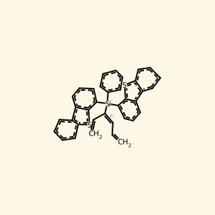 C=C/C=C(\C=C)[Si](c1ccccc1)(c1cccc2c1sc1ccccc12)c1cccc2c1sc1ccccc12